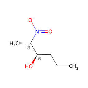 CCC[C@@H](O)[C@H](C)[N+](=O)[O-]